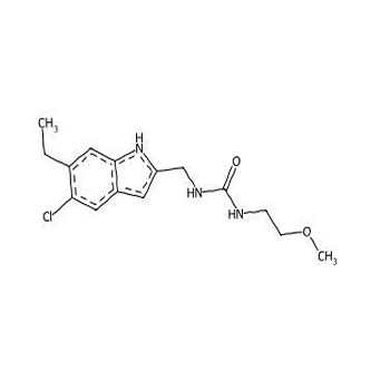 CCc1cc2[nH]c(CNC(=O)NCCOC)cc2cc1Cl